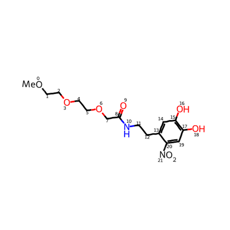 COCCOCCOCC(=O)NCCc1cc(O)c(O)cc1[N+](=O)[O-]